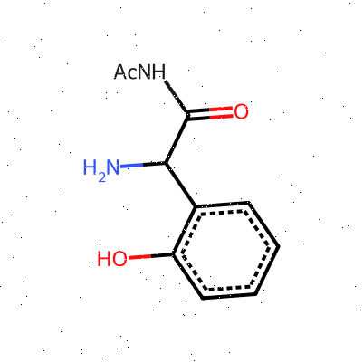 CC(=O)NC(=O)C(N)c1ccccc1O